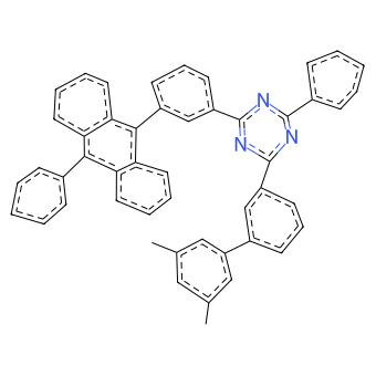 Cc1cc(C)cc(-c2cccc(-c3nc(-c4ccccc4)nc(-c4cccc(-c5c6ccccc6c(-c6ccccc6)c6ccccc56)c4)n3)c2)c1